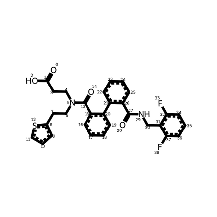 O=C(O)CCN(CCc1cccs1)C(=O)c1ccccc1-c1ccccc1C(=O)NCc1c(F)cccc1F